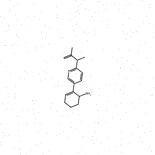 C=C(C)C(C)c1ccc(C2=CCCCC2N)cn1